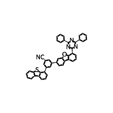 N#Cc1cc(-c2ccc3c(c2)oc2c(-c4nc(-c5ccccc5)nc(-c5ccccc5)n4)cccc23)cc(-c2cccc3c2sc2ccccc23)c1